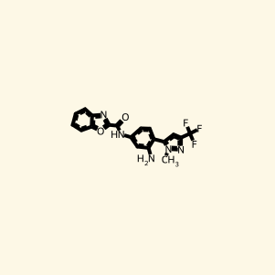 Cn1nc(C(F)(F)F)cc1-c1ccc(NC(=O)c2nc3ccccc3o2)cc1N